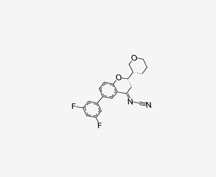 N#C/N=C1\C[C@@H]([C@H]2CCCOC2)Oc2ccc(-c3cc(F)cc(F)c3)cc21